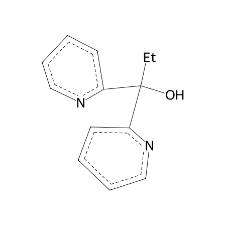 CCC(O)(c1ccccn1)c1ccccn1